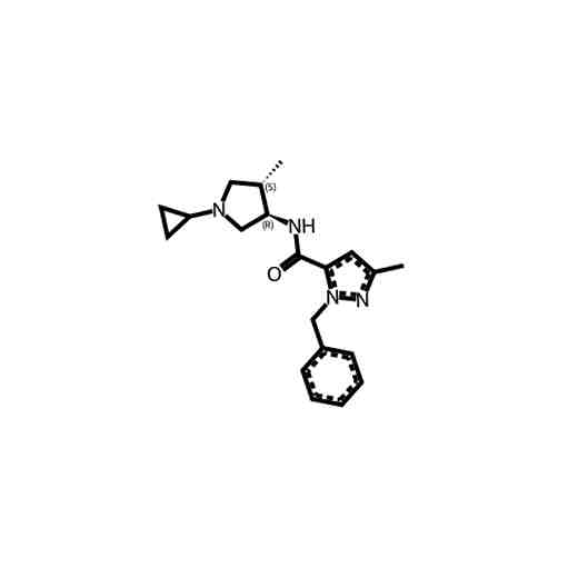 Cc1cc(C(=O)N[C@H]2CN(C3CC3)C[C@@H]2C)n(Cc2ccccc2)n1